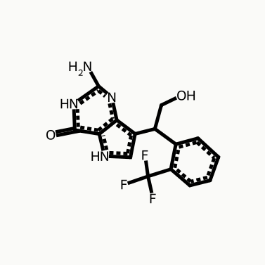 Nc1nc2c(C(CO)c3ccccc3C(F)(F)F)c[nH]c2c(=O)[nH]1